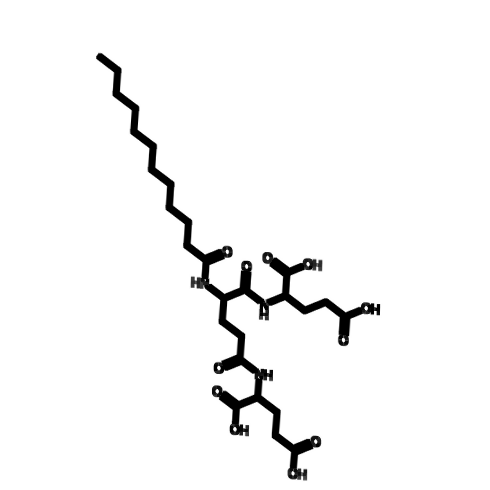 CCCCCCCCCCCC(=O)NC(CCC(=O)NC(CCC(=O)O)C(=O)O)C(=O)NC(CCC(=O)O)C(=O)O